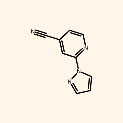 N#Cc1ccnc(-n2cccn2)c1